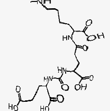 CNCCCCC(NC(=O)CCC(NC(=O)NC(CCC(=O)O)C(=O)O)C(=O)O)C(=O)O